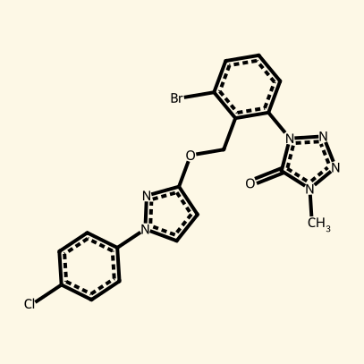 Cn1nnn(-c2cccc(Br)c2COc2ccn(-c3ccc(Cl)cc3)n2)c1=O